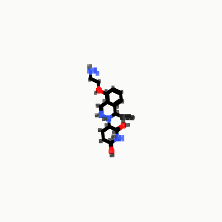 COC1c2cccc(OCCN)c2C=NN1C1CCC(=O)NC1=O